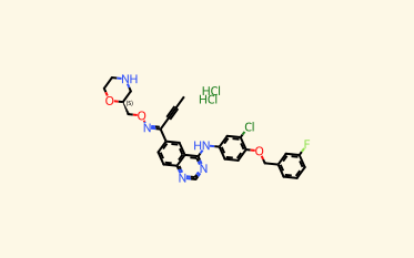 CC#CC(=NOC[C@@H]1CNCCO1)c1ccc2ncnc(Nc3ccc(OCc4cccc(F)c4)c(Cl)c3)c2c1.Cl.Cl